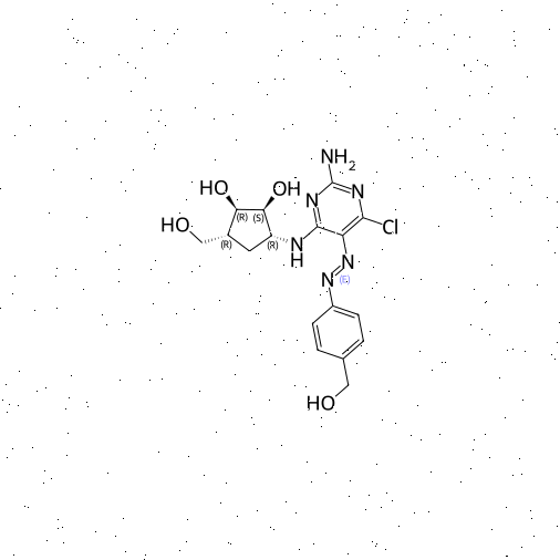 Nc1nc(Cl)c(/N=N/c2ccc(CO)cc2)c(N[C@@H]2C[C@H](CO)[C@@H](O)[C@H]2O)n1